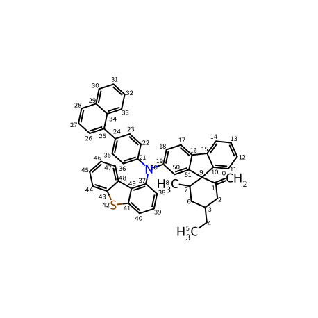 C=C1CC(CC)CC(C)C12c1ccccc1-c1ccc(N(c3ccc(-c4cccc5ccccc45)cc3)c3cccc4sc5ccccc5c34)cc12